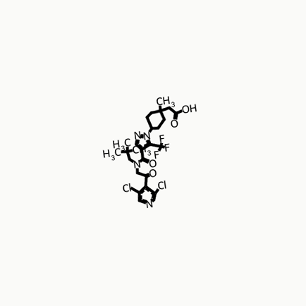 CC(C)(C)CN(CC(=O)c1c(Cl)cncc1Cl)C(=O)c1cnn(C2CCC(C)(CC(=O)O)CC2)c1C(F)(F)F